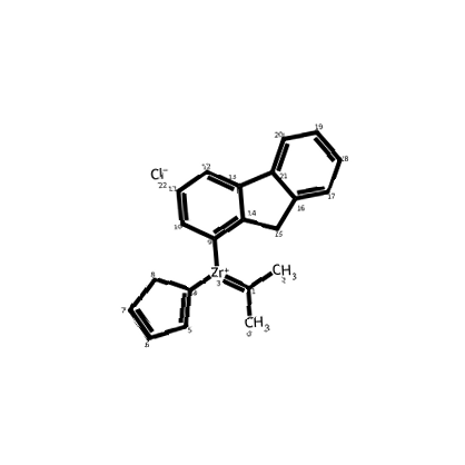 C[C](C)=[Zr+]([C]1=CC=CC1)[c]1cccc2c1Cc1ccccc1-2.[Cl-]